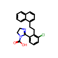 O=C(O)N1CCN=C1c1cccc(Cl)c1CCc1cccc2ccccc12